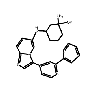 CC1(O)CCCC(Nc2ccc3ncc(-c4ccnc(-c5ccccc5)c4)n3c2)C1